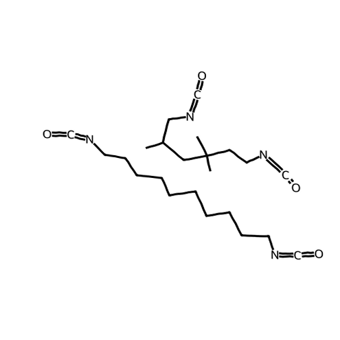 CC(CN=C=O)CC(C)(C)CCN=C=O.O=C=NCCCCCCCCCCN=C=O